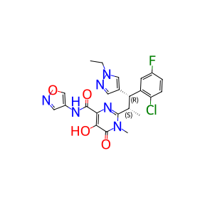 CCn1cc([C@H](c2cc(F)ccc2Cl)[C@H](C)c2nc(C(=O)Nc3cnoc3)c(O)c(=O)n2C)cn1